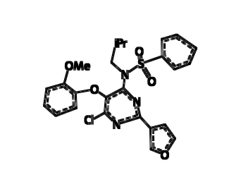 COc1ccccc1Oc1c(Cl)nc(-c2ccoc2)nc1N(CC(C)C)S(=O)(=O)c1ccccc1